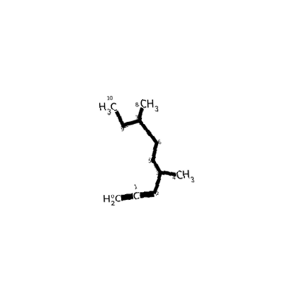 C=C=CC(C)CCC(C)CC